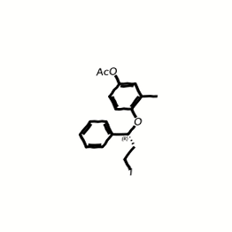 CC(=O)Oc1ccc(O[C@H](CCI)c2ccccc2)c(C)c1